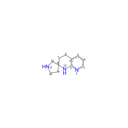 c1cnc2c(c1)CCC1(CCNC1)N2